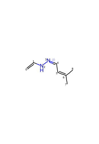 C=CN/N=C\C=C(C)C